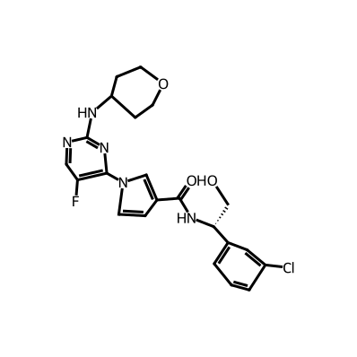 O=C(N[C@H](CO)c1cccc(Cl)c1)c1ccn(-c2nc(NC3CCOCC3)ncc2F)c1